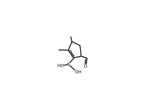 CC1=C(B(O)O)C(C=O)CC1C